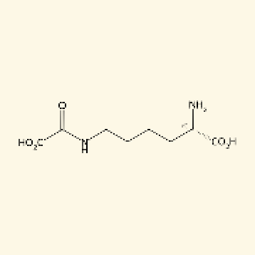 N[C@@H](CCCCNC(=O)C(=O)O)C(=O)O